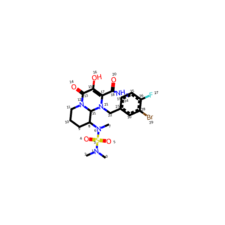 CN(C)S(=O)(=O)N(C)C1CCCN2C(=O)C(O)=C(C(N)=O)N(Cc3ccc(F)c(Br)c3)C12